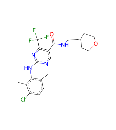 Cc1ccc(Cl)c(C)c1Nc1ncc(C(=O)NCC2CCOCC2)c(C(F)(F)F)n1